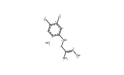 Cl.NC(CNc1ccc(Cl)c(Cl)c1)=NO